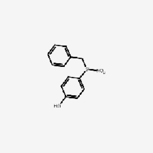 O=[N+]([O-])[S+](Cc1ccccc1)c1ccc(O)cc1